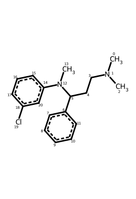 CN(C)CCC(c1ccccc1)N(C)c1cccc(Cl)c1